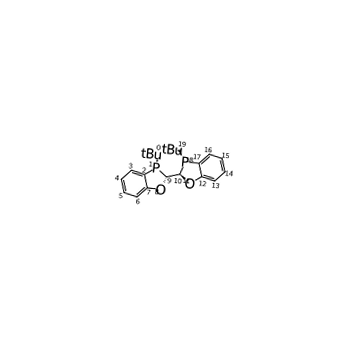 CC(C)(C)[P@]1c2ccccc2O[C@H]1[C@@H]1Oc2ccccc2[P@]1C(C)(C)C